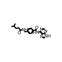 CC(C)CCC(=O)NCc1ccc(C(=O)Nc2ncnc3[nH]cnc23)cc1